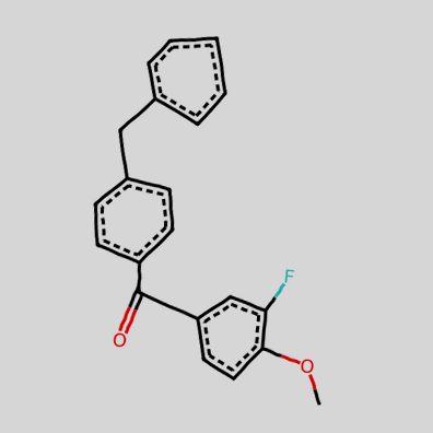 COc1ccc(C(=O)c2ccc(Cc3ccccc3)cc2)cc1F